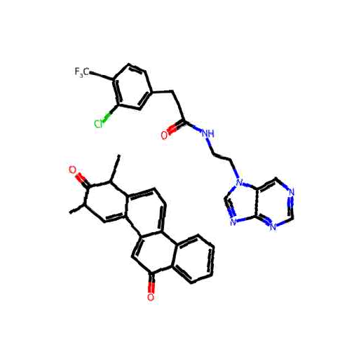 CC1C=c2c(ccc3c2=CC(=O)c2ccccc2-3)C(C)C1=O.O=C(Cc1ccc(C(F)(F)F)c(Cl)c1)NCCn1cnc2ncncc21